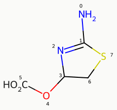 NC1=NC(OC(=O)O)CS1